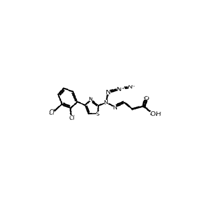 [N-]=[N+]=NN(N=CCC(=O)O)c1nc(-c2cccc(Cl)c2Cl)cs1